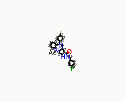 CC(=O)N1c2ccc(C(=O)NCc3ccc(F)cc3)cc2N=C(c2ccc(F)cc2)c2ccccc21